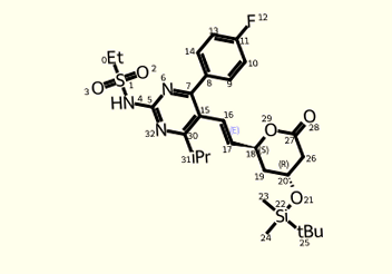 CCS(=O)(=O)Nc1nc(-c2ccc(F)cc2)c(/C=C/[C@@H]2C[C@@H](O[Si](C)(C)C(C)(C)C)CC(=O)O2)c(C(C)C)n1